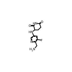 NCc1ncc(NC2CCC(=O)NC2=O)cc1F